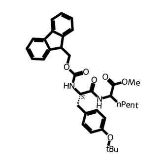 CCCCCC(NC(=O)[C@H](Cc1ccc(OC(C)(C)C)cc1)NC(=O)OCC1c2ccccc2-c2ccccc21)C(=O)OC